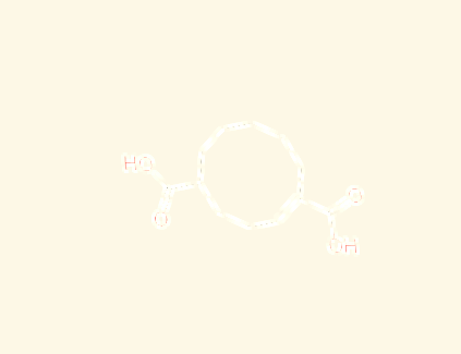 O=C(O)C1=CCCC(C(=O)O)CCCCC1